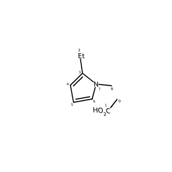 CC(=O)O.CCc1cccn1C